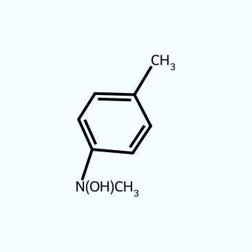 Cc1ccc(N(C)O)cc1